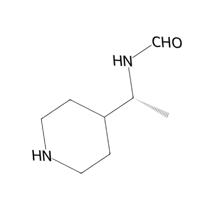 C[C@@H](NC=O)C1CCNCC1